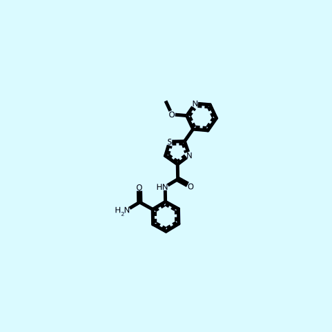 COc1ncccc1-c1nc(C(=O)Nc2ccccc2C(N)=O)cs1